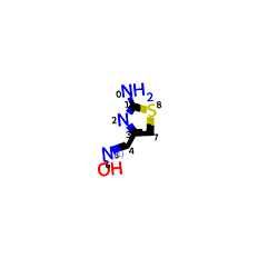 Nc1nc(/C=N/O)cs1